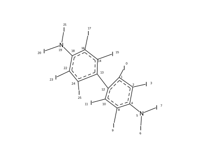 Ic1c(I)c(N(I)I)c(I)c(I)c1-c1c(I)c(I)c(N(I)I)c(I)c1I